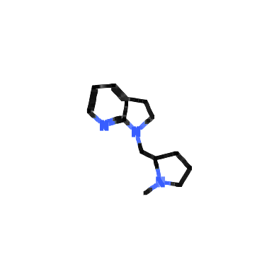 CN1CCCC1CN1CCc2cccnc21